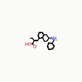 CC/C(=C\c1cccc2c1CCC(N[C@H](C)c1ccccc1)C2)C(=O)O